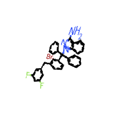 Nc1nn(C(c2ccccc2)(c2ccccc2)c2cccc(Cc3cc(F)cc(F)c3)c2Br)c2ccccc12